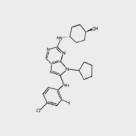 O[C@H]1CC[C@H](Nc2ncc3nc(Nc4ccc(Cl)cc4F)n(C4CCCC4)c3n2)CC1